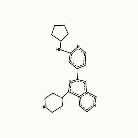 c1cc2c(N3CCNCC3)nc(-c3ccnc(NC4CCCC4)c3)cc2cn1